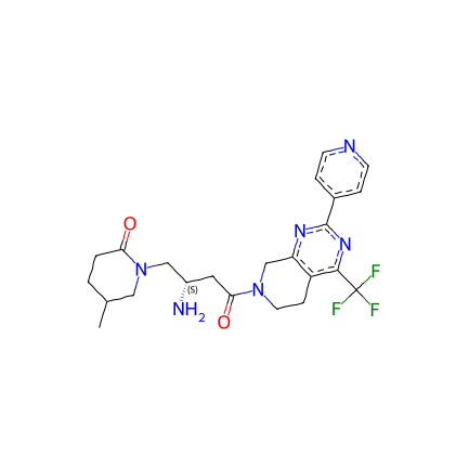 CC1CCC(=O)N(C[C@@H](N)CC(=O)N2CCc3c(nc(-c4ccncc4)nc3C(F)(F)F)C2)C1